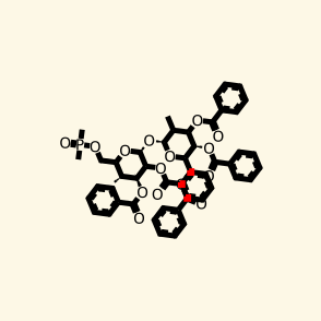 CC1C(OC(=O)c2ccccc2)[C@H](OC(=O)c2ccccc2)C(COC(=O)c2ccccc2)O[C@@H]1O[C@H]1OC(COP(C)(C)=O)[C@@H](C)[C@H](OC(=O)c2ccccc2)C1OC(=O)c1ccccc1